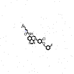 CN(C)C/C=C/C(=O)Nc1ccc2ncnc3c2c1C=CN3c1ccc(OCc2cccc(F)c2)c(Cl)c1